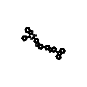 c1ccc(C2=NC(c3ccc4c(c3)sc3ccc(-c5ccc6c(c5)sc5cc(-n7c8ccccc8c8ccccc87)ccc56)cc34)Nc3sc4ccccc4c32)cc1